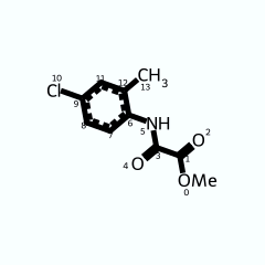 COC(=O)C(=O)Nc1ccc(Cl)cc1C